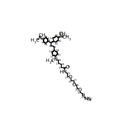 CN(C)c1ccc(C(/C=C/c2ccc(N(C)CCCCC(=O)NCCOCCOCCOCCN=[N+]=[N-])cc2)=C2C=CC(=[N+](C)C)C=C2)cc1